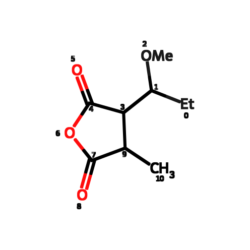 CCC(OC)C1C(=O)OC(=O)C1C